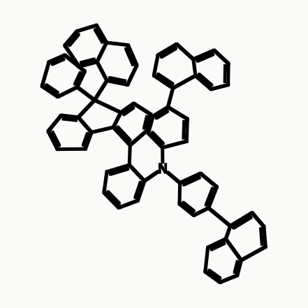 c1ccc(C2(c3cccc4ccccc34)c3ccccc3-c3c(-c4ccccc4N(c4ccc(-c5cccc6ccccc56)cc4)c4ccc(-c5cccc6ccccc56)cc4)cccc32)cc1